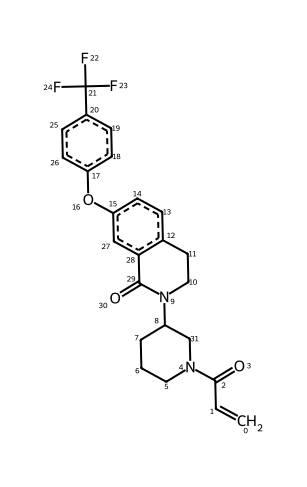 C=CC(=O)N1CCCC(N2CCc3ccc(Oc4ccc(C(F)(F)F)cc4)cc3C2=O)C1